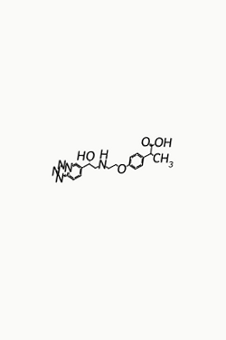 CC(C(=O)O)c1ccc(OCCNC[C@@H](O)c2ccc3nnnn3c2)cc1